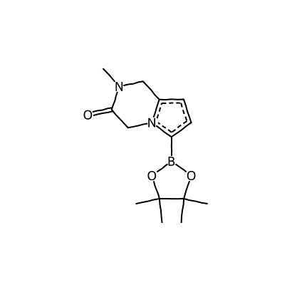 CN1Cc2ccc(B3OC(C)(C)C(C)(C)O3)n2CC1=O